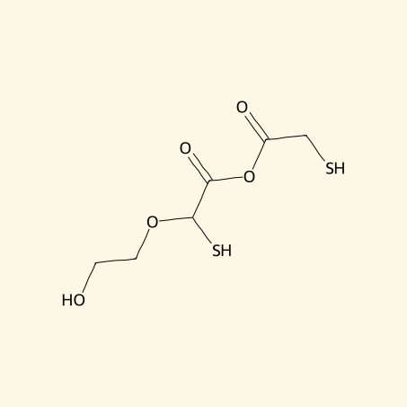 O=C(CS)OC(=O)C(S)OCCO